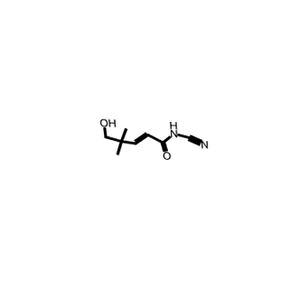 CC(C)(C=CC(=O)NC#N)CO